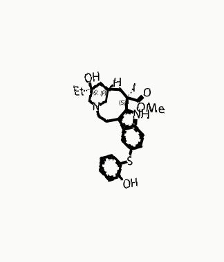 CC[C@]1(O)C[C@H]2CN(CCc3c([nH]c4ccc(Sc5ccccc5O)cc34)[C@](I)(C(=O)OC)C2)C1